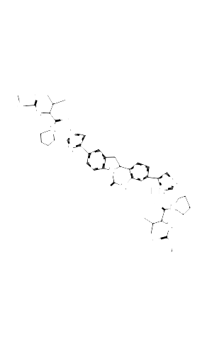 COC(=O)NC(C(=O)N1CCC[C@H]1c1ncc(-c2ccc3c(c2)CC2c4ccc(-c5cnc([C@@H]6CCCN6C(=O)C(NC(=O)OC)C(C)C)[nH]5)cc4NC(=O)N32)[nH]1)C(C)C